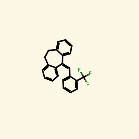 FC(F)(F)c1ccccc1C=C1c2ccccc2CCc2ccccc21